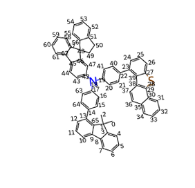 CC1(C)c2ccccc2-c2cccc(-c3ccc(N(c4ccc(-c5cccc6sc7c8ccccc8ccc7c56)cc4)c4ccc5c(c4)C4(CCc6ccccc64)c4ccccc4-5)cc3)c21